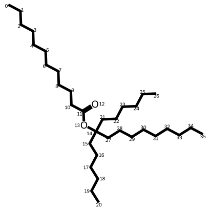 CCCCCCCCCCCC(=O)OC(CCCCCC)(CCCCCC)CCCCCCCCC